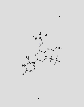 C=CCOCC(/C=C/P(=O)(OC)OC)OC(CO[Si](C)(C)C(C)(C)C)n1ccc(=O)[nH]c1=O